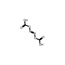 O=C(O)ON=NOC(=O)O